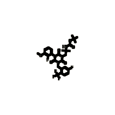 COc1cccc(-n2c(=O)n(Cc3cc(F)ccc3C(F)(F)F)c(=O)n(CC(C)(C)NC(=O)OC(C)(C)C)c2=O)c1F